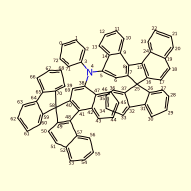 c1ccc(N(c2cc3c(c4ccccc24)-c2c(ccc4ccccc24)C32c3ccccc3-c3ccccc32)c2cc3c(c4ccccc24)-c2c(ccc4ccccc24)C32c3ccccc3-c3ccccc32)cc1